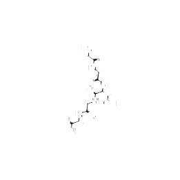 NCC(=O)NCC(=O)N[C@@H](CO)C(=O)NCC(=O)NCC(=O)O